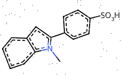 Cn1c(-c2ccc(S(=O)(=O)O)cc2)cc2ccccc21